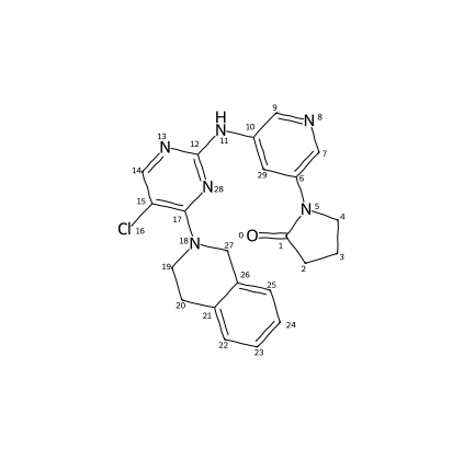 O=C1CCCN1c1cncc(Nc2ncc(Cl)c(N3CCc4ccccc4C3)n2)c1